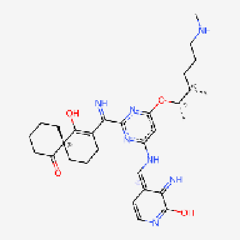 CNCCC[C@H](C)[C@H](C)Oc1cc(N/C=C2/C=CN=C(O)C2=N)nc(C(=N)C2=C(O)[C@]3(CCCCC3=O)CCC2)n1